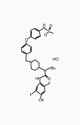 CCCCN(C(=O)Nc1cc(F)c(C#N)cc1F)C1CCN(Cc2ccc(Oc3ccc(NS(C)(=O)=O)cc3)cc2)CC1.Cl